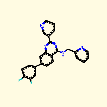 Fc1ccc(-c2ccc3c(NCc4ccccn4)nc(-c4cccnc4)nc3c2)cc1F